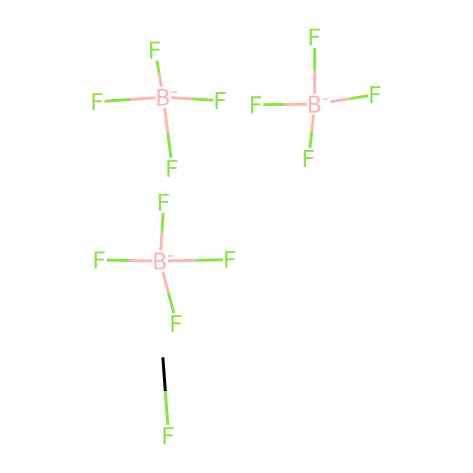 CF.F[B-](F)(F)F.F[B-](F)(F)F.F[B-](F)(F)F